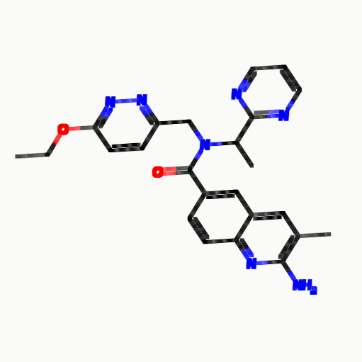 CCOc1ccc(CN(C(=O)c2ccc3nc(N)c(C)cc3c2)C(C)c2ncccn2)nn1